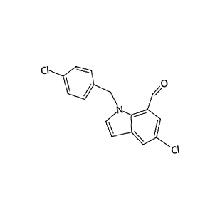 O=Cc1cc(Cl)cc2ccn(Cc3ccc(Cl)cc3)c12